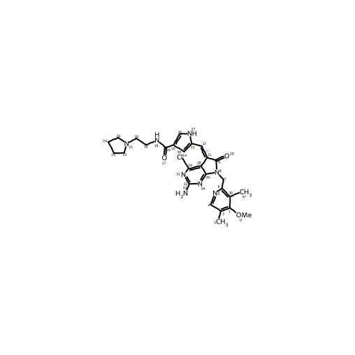 COc1c(C)cnc(CN2C(=O)/C(=C/c3cc(C(=O)NCCN4CCCC4)c[nH]3)c3c(Cl)nc(N)nc32)c1C